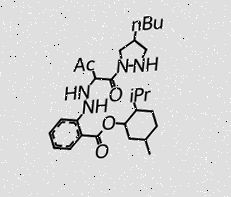 CCCCC1CNN(C(=O)C(NNc2ccccc2C(=O)OC2CC(C)CCC2C(C)C)C(C)=O)C1